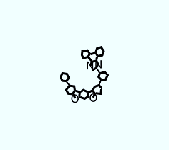 c1ccc(-c2ccc3oc4cc5oc6ccc(-c7cccc(-c8cnc9c%10ccccc%10c%10ccccc%10c9n8)c7)cc6c5cc4c3c2)cc1